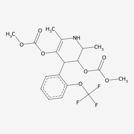 COC(=O)OC1=C(C)NC(C)C(OC(=O)OC)C1c1ccccc1OC(F)(F)F